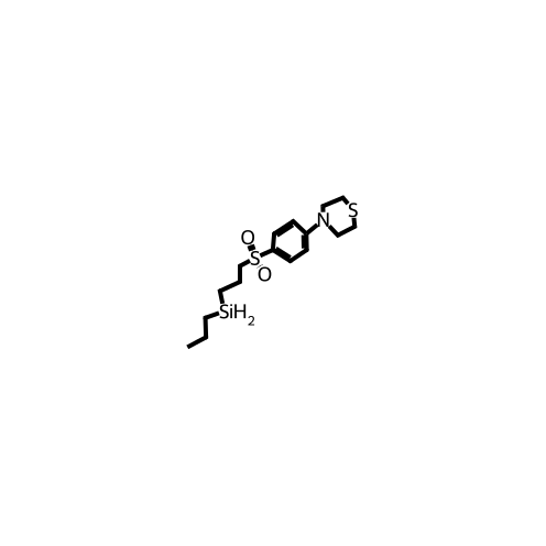 CCC[SiH2]CCCS(=O)(=O)c1ccc(N2CCSCC2)cc1